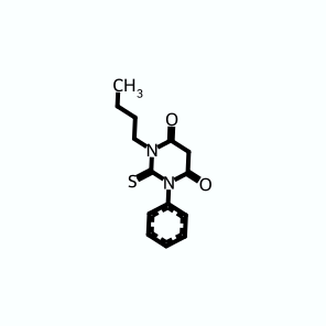 CCCCN1C(=O)CC(=O)N(c2ccccc2)C1=S